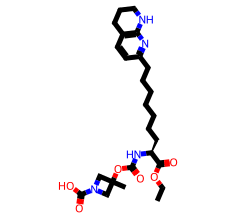 CCOC(=O)[C@H](CCCCCCCc1ccc2c(n1)NCCC2)NC(=O)OC1(C)CN(C(=O)O)C1